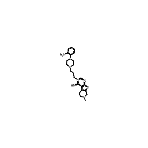 CN1CCc2c(sc3ncn(CCCN4CCN(c5ccccc5N)CC4)c(=N)c23)C1